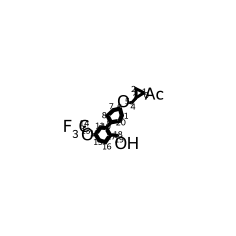 CC(=O)C1CC1COc1ccc(-c2cc(OC(F)(F)F)ccc2CO)cc1